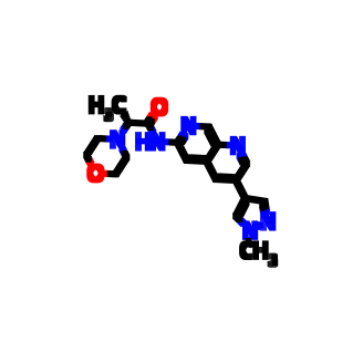 C[C@@H](C(=O)Nc1cc2cc(-c3cnn(C)c3)cnc2cn1)N1CCOCC1